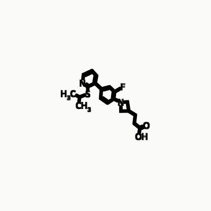 CC(C)Sc1ncccc1-c1ccc(N2CC(CCC(=O)O)C2)c(F)c1